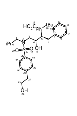 CC(C)CN(C[C@@H](O)[C@H](Cc1ccccc1)N(C(=O)O)C(C)(C)C)S(=O)(=O)c1ccc(CCO)cc1